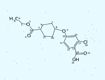 CCOC(=O)C1CCC(Oc2ccc(C(=O)O)c(Cl)c2)CC1